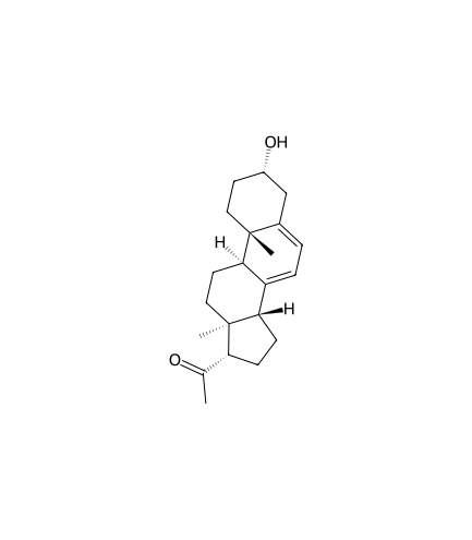 CC(=O)[C@H]1CC[C@H]2C3=CC=C4C[C@@H](O)CC[C@@]4(C)[C@@H]3CC[C@]12C